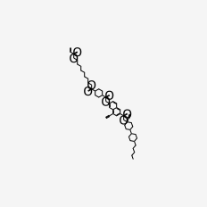 C#Cc1cc(C(=O)OC2(C#C)CCC(C3CCC(CCCCC)CC3)CC2)cc2ccc(OC(=O)C3CCC(C(=O)OCCCCCCCCOC(=O)C=C)CC3)cc12